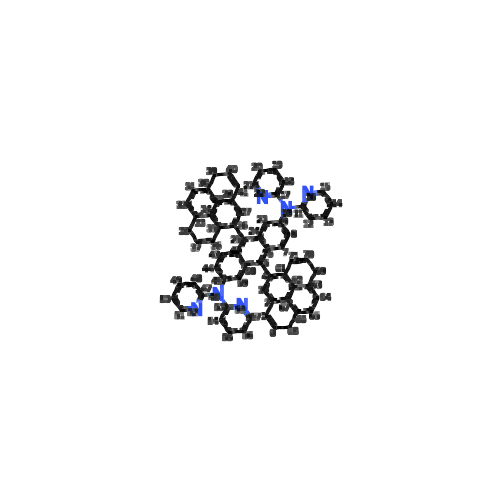 C1=Cc2cc(-c3c4ccc(N(c5ccccn5)c5ccccn5)cc4c(-c4cc5c6c(ccc7c6c4C=CC7)CC=C5)c4ccc(N(c5ccccn5)c5ccccn5)cc34)c3c4c(ccc(c24)C1)CC=C3